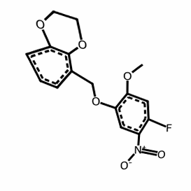 COc1cc(F)c([N+](=O)[O-])cc1OCc1cccc2c1OCCO2